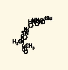 C[C@H]1COCCN1CCN(C)c1ccc2c(n1)sc1nc(-c3ccc(NC(=O)Nc4cc(C(C)(C)C)on4)cc3)cn12